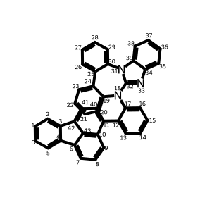 c1ccc2c(c1)-c1cccc3c(-c4ccccc4N4c5ccccc5-c5ccccc5-n5c4nc4ccccc45)ccc-2c13